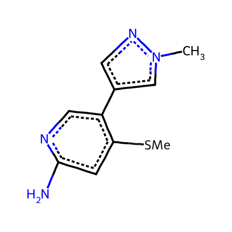 CSc1cc(N)ncc1-c1cnn(C)c1